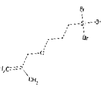 C=C(C)COCCC[Si](Br)(Br)Br